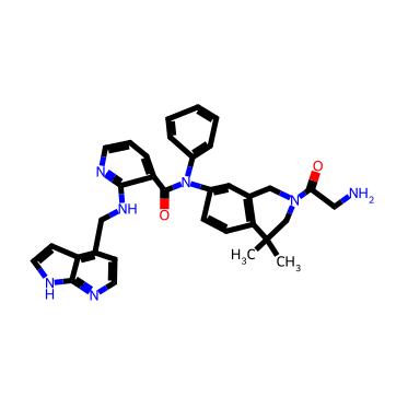 CC1(C)CN(C(=O)CN)Cc2cc(N(C(=O)c3cccnc3NCc3ccnc4[nH]ccc34)c3ccccc3)ccc21